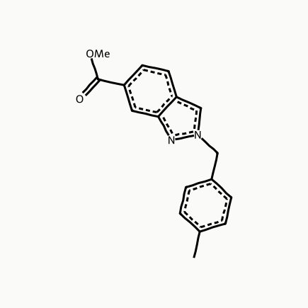 COC(=O)c1ccc2cn(Cc3ccc(C)cc3)nc2c1